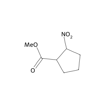 COC(=O)C1CCCC1[N+](=O)[O-]